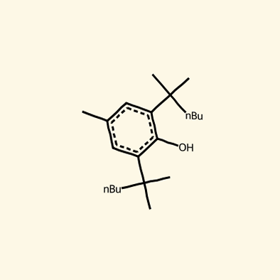 CCCCC(C)(C)c1cc(C)cc(C(C)(C)CCCC)c1O